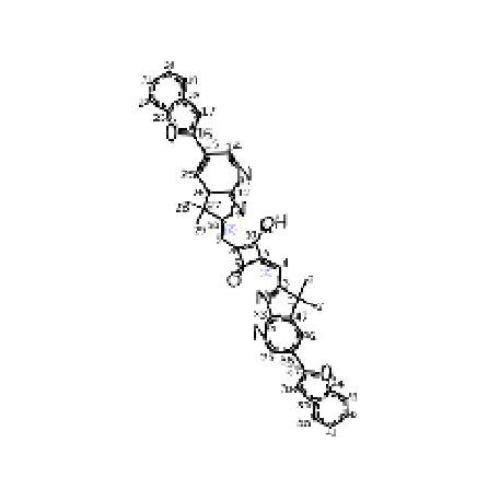 CC1(C)C(/C=C2\C(=O)C(/C=C3\N=C4N=CC(c5cc6ccccc6o5)=CC4C3(C)C)=C2O)=Nc2ncc(-c3cc4ccccc4o3)cc21